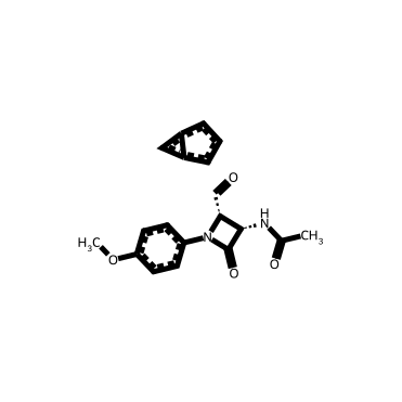 COc1ccc(N2C(=O)[C@@H](NC(C)=O)[C@H]2C=O)cc1.c1cc2cc-2c1